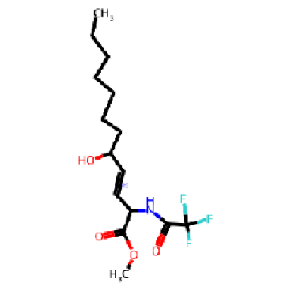 CCCCCCCC(O)/C=C/C(NC(=O)C(F)(F)F)C(=O)OC